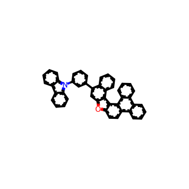 c1cc(-c2cc3oc4ccc5c6ccccc6c6ccccc6c5c4c3c3ccccc23)cc(-n2c3ccccc3c3ccccc32)c1